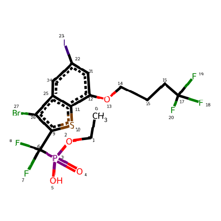 CCOP(=O)(O)C(F)(F)c1sc2c(OCCCC(F)(F)F)cc(I)cc2c1Br